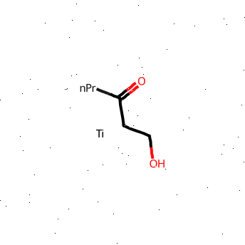 CCCC(=O)CCO.[Ti]